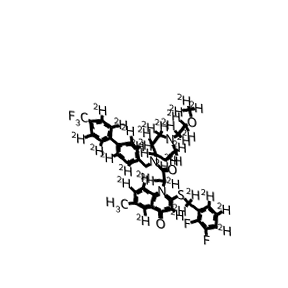 [2H]c1c([2H])c(F)c(F)c(C([2H])([2H])Sc2c([2H])c(=O)c3c([2H])c(C)c([2H])c([2H])c3n2C([2H])([2H])C(=O)N(Cc2c([2H])c([2H])c(-c3c([2H])c([2H])c(C(F)(F)F)c([2H])c3[2H])c([2H])c2[2H])C2([2H])C([2H])([2H])C([2H])([2H])N(C([2H])([2H])C([2H])([2H])OC([2H])([2H])[2H])C([2H])([2H])C2([2H])[2H])c1[2H]